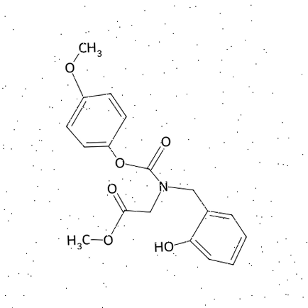 COC(=O)CN(Cc1ccccc1O)C(=O)Oc1ccc(OC)cc1